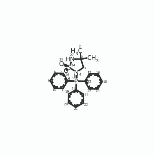 CC1(C)CN([PH](c2ccccc2)(c2ccccc2)c2ccccc2)S(=O)(=O)N1